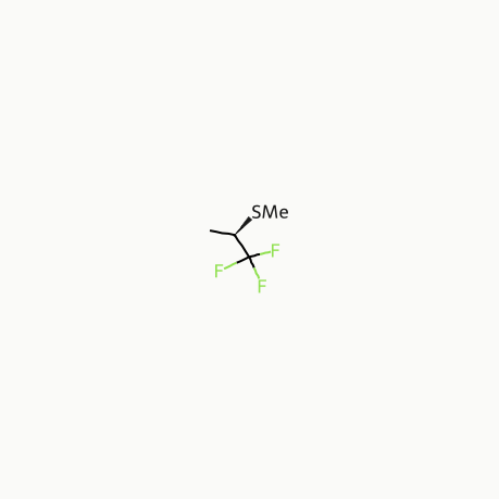 CS[C@H](C)C(F)(F)F